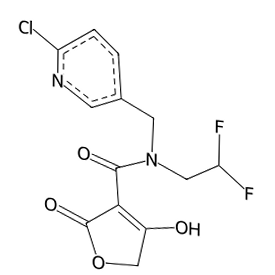 O=C1OCC(O)=C1C(=O)N(Cc1ccc(Cl)nc1)CC(F)F